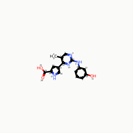 Cc1cnc(Nc2cccc(O)c2)nc1-c1c[nH]c(C(=O)O)c1